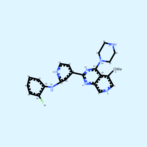 COc1cncc2nc(-c3ccnc(Nc4ccccc4F)c3)nc(N3CCNCC3)c12